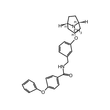 CN1[C@@H]2CC[C@H]1C[C@@H](Oc1cccc(CNC(=O)c3ccc(Oc4ccccc4)cc3)c1)C2